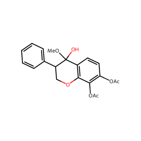 COC1(O)c2ccc(OC(C)=O)c(OC(C)=O)c2OCC1c1ccccc1